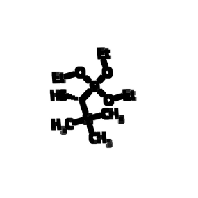 CCO[Si](OCC)(OCC)[C@@H](S)[Si](C)(C)C